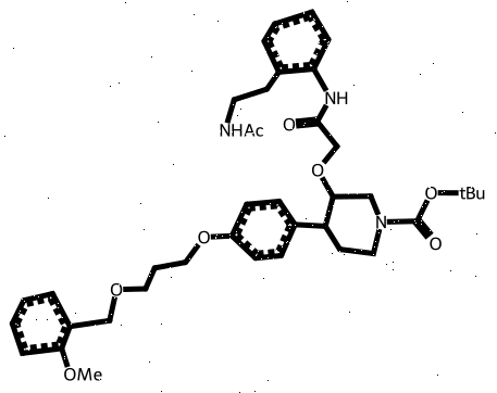 COc1ccccc1COCCCOc1ccc(C2CCN(C(=O)OC(C)(C)C)CC2OCC(=O)Nc2ccccc2CCNC(C)=O)cc1